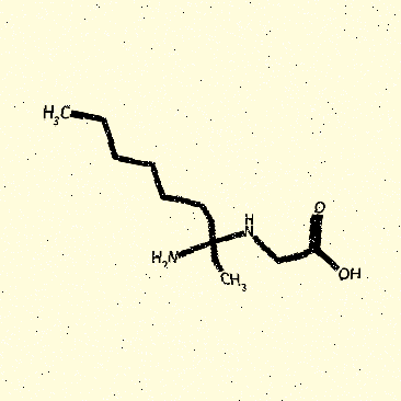 CCCCCCC(C)(N)NCC(=O)O